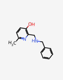 Cc1ccc(O)c(CNCc2ccccc2)n1